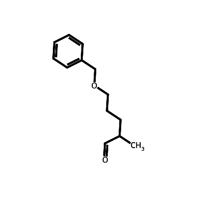 CC(C=O)CCCOCc1ccccc1